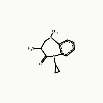 CN1CC(N)C(=O)N(C2CC2)c2ccccc21